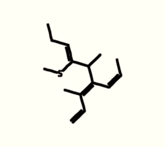 C=C/C(C)=C(\C=C/C)C(C)/C(=C/CC)SC